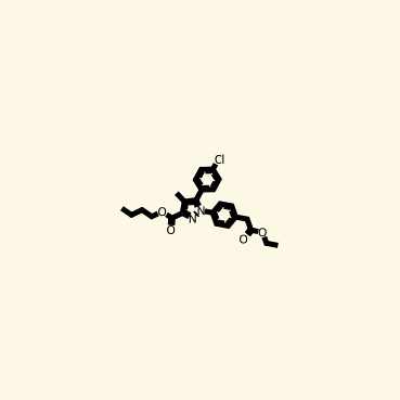 CCCCOC(=O)c1nn(-c2ccc(CC(=O)OCC)cc2)c(-c2ccc(Cl)cc2)c1C